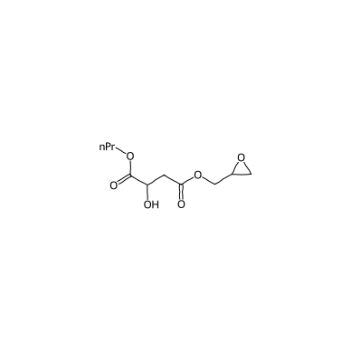 CCCOC(=O)C(O)CC(=O)OCC1CO1